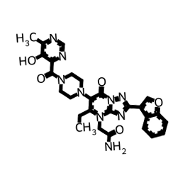 CCc1c(N2CCN(C(=O)c3ncnc(C)c3O)CC2)c(=O)n2nc(-c3coc4ccccc34)nc2n1CC(N)=O